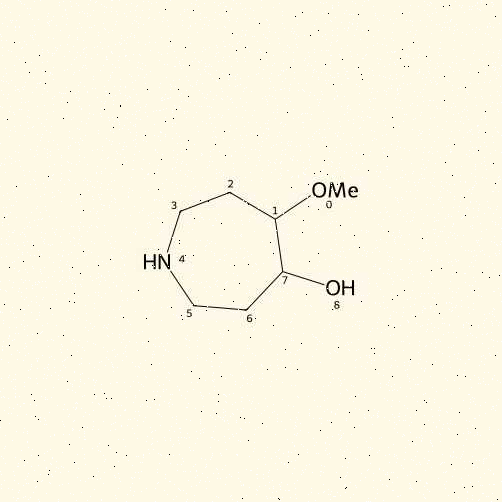 COC1CCNCCC1O